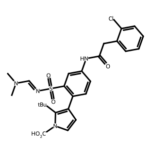 CN(C)C=NS(=O)(=O)c1cc(NC(=O)Cc2ccccc2Cl)ccc1-c1ccn(C(=O)O)c1C(C)(C)C